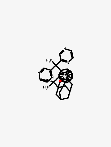 CC(C)(C)C(P)(C12CC3CC(CC(C3)C1)C2)[C]12[CH]3[CH]4[CH]5[C]1(C(P)(c1cnccn1)c1cnccn1)[Fe]45321678[CH]2[CH]1[CH]6[CH]7[CH]28